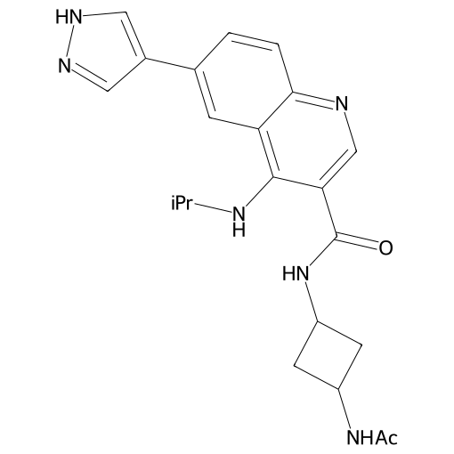 CC(=O)NC1CC(NC(=O)c2cnc3ccc(-c4cn[nH]c4)cc3c2NC(C)C)C1